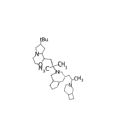 CC(CC1CC2CCCC2CN(C(C)(C)CC2OCCN3CC(C(C)(C)C)CC23)C1)N1CCC2CCC2C1